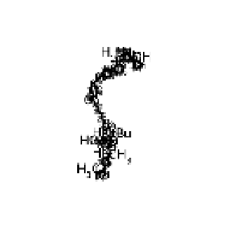 Cc1ncsc1-c1ccc([C@H](C)NC(=O)[C@@H]2C[C@@H](O)CN2C(=O)[C@@H](NC(=O)CCCCCCCCC(=O)N2CCN(CCOc3ccc(N4CCCC(Oc5cc(-c6ccccc6O)nnc5N)C4)cc3)CC2)C(C)(C)C)cc1